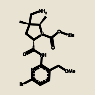 COCc1ccc(Br)nc1NC(=O)[C@@H]1C[C@](C)(CN)[C@@H](C)N1C(=O)OC(C)(C)C